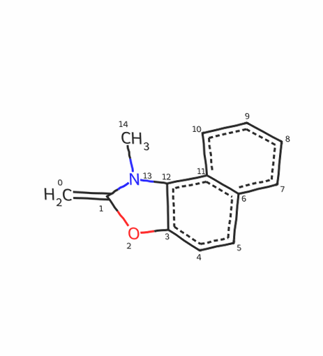 C=C1Oc2ccc3ccccc3c2N1C